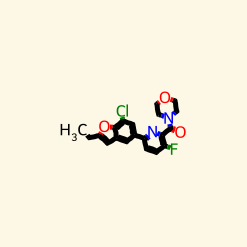 CCc1cc2cc(-c3ccc(F)c(C(=O)N4CCOCC4)n3)cc(Cl)c2o1